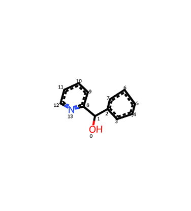 OC(c1c[c]ccc1)c1ccccn1